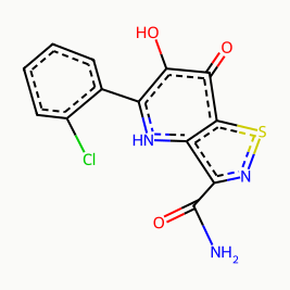 NC(=O)c1nsc2c(=O)c(O)c(-c3ccccc3Cl)[nH]c12